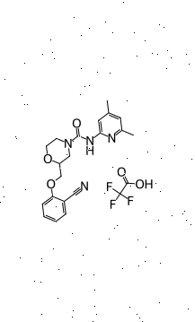 Cc1cc(C)nc(NC(=O)N2CCOC(COc3ccccc3C#N)C2)c1.O=C(O)C(F)(F)F